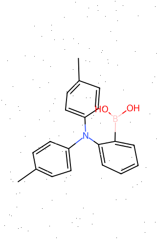 Cc1ccc(N(c2ccc(C)cc2)c2ccccc2B(O)O)cc1